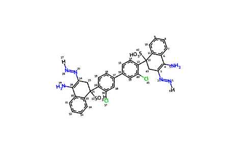 [H]/N=N/C1=C(N)c2ccccc2C(c2ccc(-c3ccc(C4(S(=O)(=O)O)CC(/N=N/[H])=C(N)c5ccccc54)c(Cl)c3)cc2Cl)(S(=O)(=O)O)C1